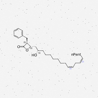 CCCCC/C=C\C/C=C\CCCCCCC[C@H](O)C[C@@H]1OC(=O)[C@H]1Cc1ccccc1